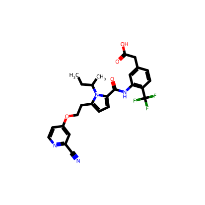 CCC(C)n1c(CCOc2ccnc(C#N)c2)ccc1C(=O)Nc1cc(CC(=O)O)ccc1C(F)(F)F